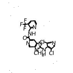 Cn1c(Nc2c(Cl)cncc2Cl)nc2cc(C(=O)NCc3ncccc3C(F)(F)F)ncc21